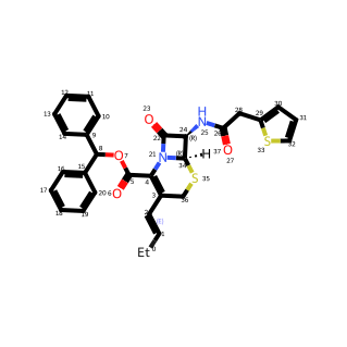 CC/C=C/C1=C(C(=O)OC(c2ccccc2)c2ccccc2)N2C(=O)[C@@H](NC(=O)Cc3cccs3)[C@H]2SC1